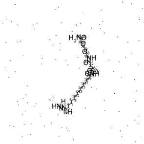 N=NNC(=N)CCCCCCCCCCCCCCCC(=O)NS(=O)(=O)CCCC(=O)NCCOCCOCC(N)=O